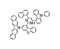 C1=C(c2cccc3c2c2ccccc2n3-c2ccccc2)NC(c2cc(-n3c4cc5ccccc5cc4c4cc5ccccc5cc43)cc3sc4ccccc4c23)N=C1c1cccc2ccccc12